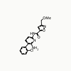 COCc1cc(C(=O)Nc2ccc(-c3ccccc3Cl)c(N)n2)on1